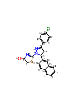 O=C1CSC(N2N=C(c3ccc(Cl)cc3)CC2c2ccc3ccccc3c2)=N1